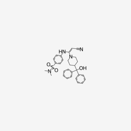 CN(C)S(=O)(=O)c1ccc(N/C(=C/C#N)N2CCC(C(O)(c3ccccc3)c3ccccc3)CC2)cc1